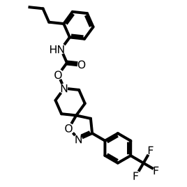 CCCc1ccccc1NC(=O)ON1CCC2(CC1)CC(c1ccc(C(F)(F)F)cc1)=NO2